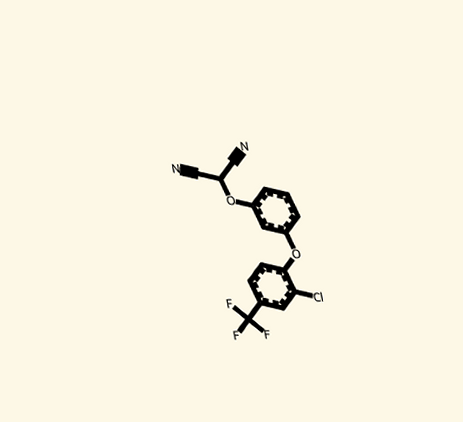 N#CC(C#N)Oc1cccc(Oc2ccc(C(F)(F)F)cc2Cl)c1